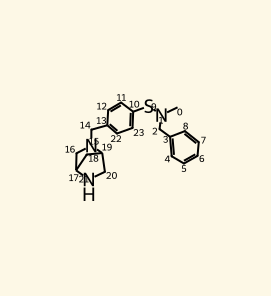 CN(Cc1ccccc1)Sc1ccc(CN2CC3CC2CN3)cc1